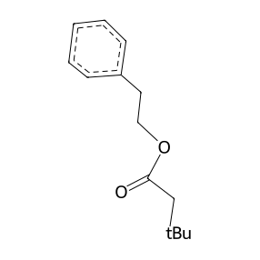 CC(C)(C)CC(=O)OCCc1ccccc1